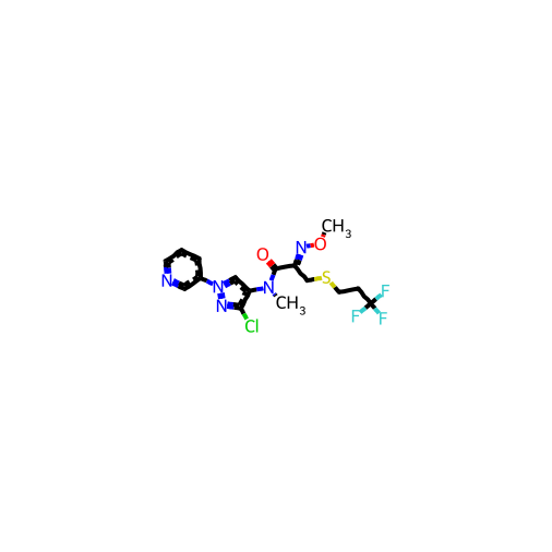 CO/N=C(\CSCCC(F)(F)F)C(=O)N(C)c1cn(-c2cccnc2)nc1Cl